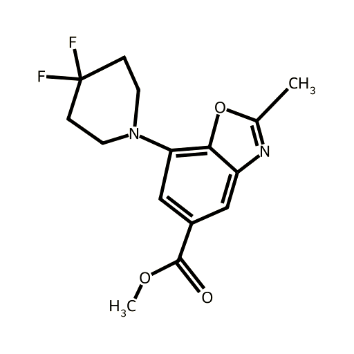 COC(=O)c1cc(N2CCC(F)(F)CC2)c2oc(C)nc2c1